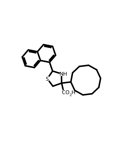 O=C(O)C1(C2CCCCCCCCC2)CSC(c2cccc3ccccc23)N1